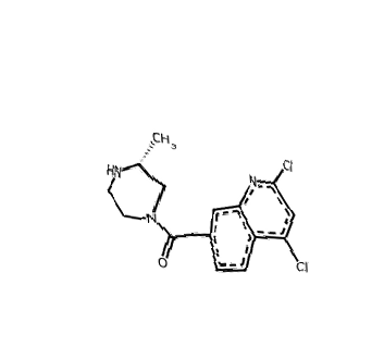 C[C@@H]1CN(C(=O)c2ccc3c(Cl)cc(Cl)nc3c2)CCN1